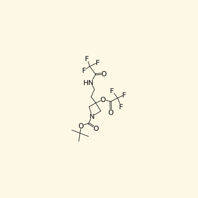 CC(C)(C)OC(=O)N1CC(CCNC(=O)C(F)(F)F)(OC(=O)C(F)(F)F)C1